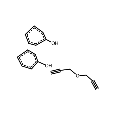 C#CCOCC#C.Oc1ccccc1.Oc1ccccc1